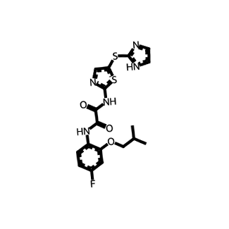 CC(C)COc1cc(F)ccc1NC(=O)C(=O)Nc1ncc(Sc2ncc[nH]2)s1